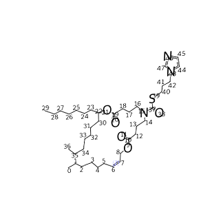 CCCCCC/C=C\COC(=O)CCCN(CCCC(=O)OC(CCCCCCC)CCCCCCC)C(=O)SCCCn1ccnc1